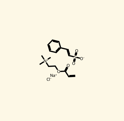 C=CC(=O)OCC[N+](C)(C)C.O=S(=O)([O-])C=Cc1ccccc1.[Cl-].[Na+]